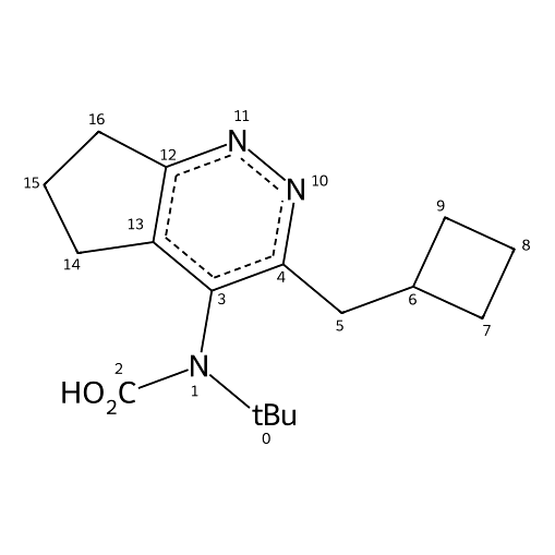 CC(C)(C)N(C(=O)O)c1c(CC2CCC2)nnc2c1CCC2